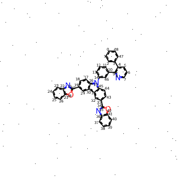 c1ccc(-c2cccnc2-c2cccc(-n3c4ccc(-c5nc6ccccc6o5)cc4c4cc(-c5nc6ccccc6o5)ccc43)c2)cc1